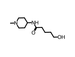 CN1CCC(NC(=O)CCCCO)CC1